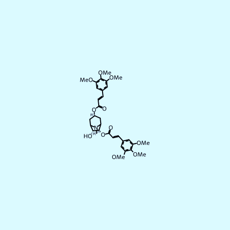 COc1cc(C=CC(=O)O[C@@H]2CC3[C@@H](O)[C@@H](OC(=O)C=Cc4cc(OC)c(OC)c(OC)c4)C(C2)N3C)cc(OC)c1OC